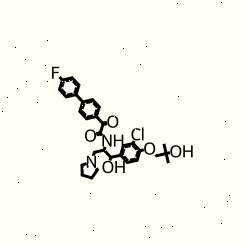 CC(C)(O)COc1ccc(C(O)C(CN2CCCC2)NC(=O)C(=O)c2ccc(-c3ccc(F)cc3)cc2)cc1Cl